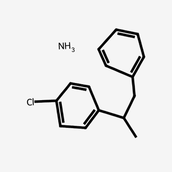 CC(Cc1ccccc1)c1ccc(Cl)cc1.N